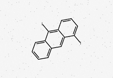 Ic1cccc2c(I)c3ccccc3cc12